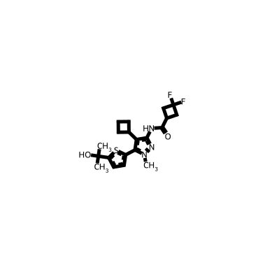 Cn1nc(NC(=O)C2CC(F)(F)C2)c(C2CCC2)c1-c1ccc(C(C)(C)O)s1